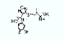 N=C(N)NCCSc1nonc1/C(=N/O)Nc1ccc(F)c(Br)c1